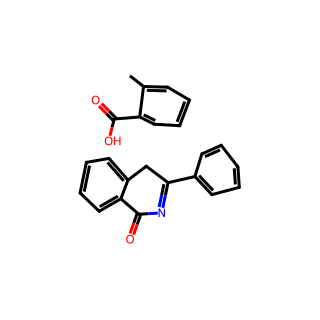 Cc1ccccc1C(=O)O.O=C1N=C(c2ccccc2)Cc2ccccc21